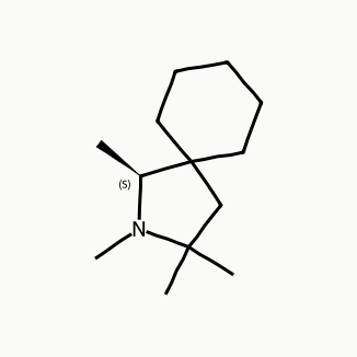 C[C@@H]1N(C)C(C)(C)CC12CCCCC2